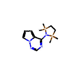 CS1(C)CCS(C)(C)N1c1ncnn2cccc12